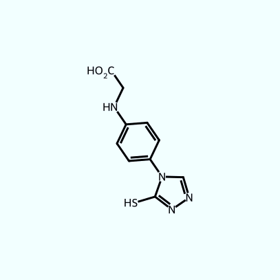 O=C(O)CNc1ccc(-n2cnnc2S)cc1